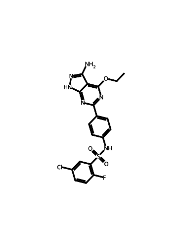 CCOc1nc(-c2ccc(NS(=O)(=O)c3cc(Cl)ccc3F)cc2)nc2[nH]nc(N)c12